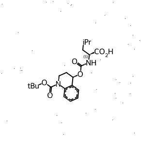 CC(C)C[C@H](NC(=O)OC1CCN(C(=O)OC(C)(C)C)c2ccccc21)C(=O)O